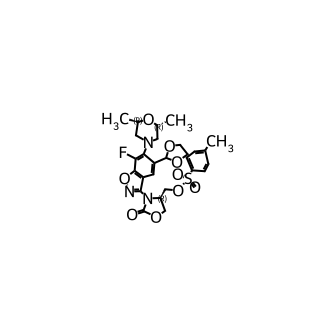 Cc1ccc(S(=O)(=O)OC[C@H]2COC(=O)N2c2noc3c(F)c(N4C[C@@H](C)O[C@H](C)C4)c(C4OCCO4)cc23)cc1